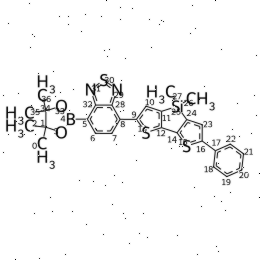 CC1(C)OB(c2ccc(-c3cc4c(s3)-c3sc(-c5ccccc5)cc3[Si]4(C)C)c3nsnc23)OC1(C)C